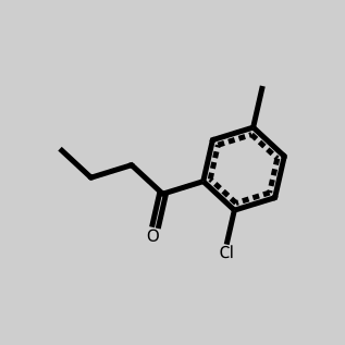 CCCC(=O)c1cc(C)ccc1Cl